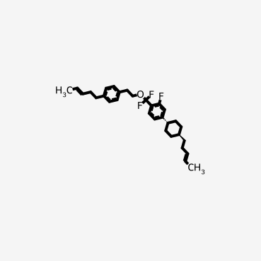 C/C=C/CCc1ccc(CCOC(F)(F)c2ccc([C@H]3CC[C@H](CC/C=C/C)CC3)cc2F)cc1